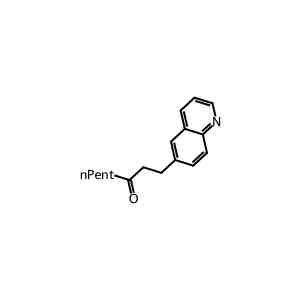 CCCCCC(=O)CCc1ccc2ncccc2c1